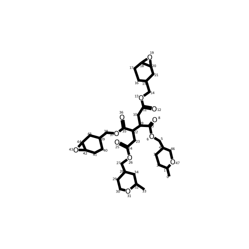 CC1CCC(COC(=O)C(CC(=O)OCC2CCC3OC3C2)C(CC(=O)OCC2CCOC(C)C2)C(=O)OCC2CCC3OC3C2)CO1